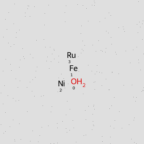 O.[Fe].[Ni].[Ru]